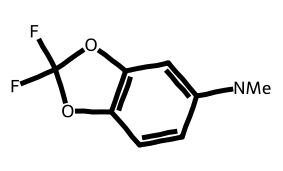 CNc1ccc2c(c1)OC(F)(F)O2